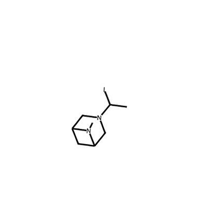 CC(I)N1CC2CC(C1)N2C